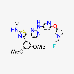 COc1cc(OC)cc(-c2nc(NC3CC3)sc2-c2ccnc(Nc3ccc(O[C@@H]4CCN(CCF)C4)nc3)n2)c1